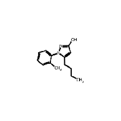 CCCCc1cc(O)nn1-c1ccccc1C